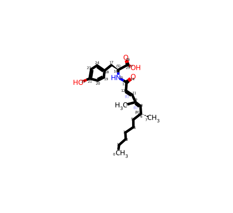 CCCCCC[C@@H](C)/C=C(C)/C=C/C(=O)N[C@@H](Cc1ccc(O)cc1)C(=O)O